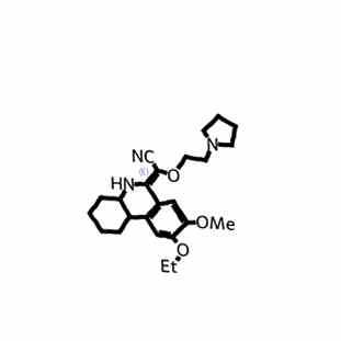 CCOc1cc2c(cc1OC)/C(=C(/C#N)OCCN1CCCC1)NC1CCCCC21